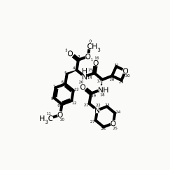 COC(=O)[C@H](Cc1ccc(OC)cc1)NC(=O)[C@@H](NC(=O)CN1CCOCC1)C1COC1